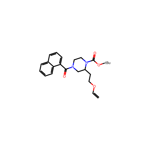 C=COCCC1CN(C(=O)c2cccc3ccccc23)CCN1C(=O)OC(C)(C)C